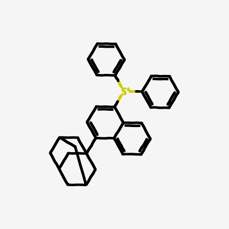 c1ccc([S+](c2ccccc2)c2ccc(C34CC5CC(CC(C5)C3)C4)c3ccccc23)cc1